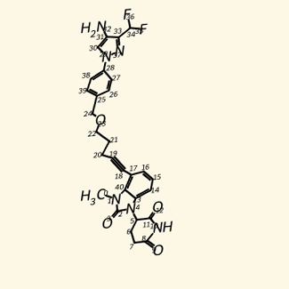 Cn1c(=O)n(C2CCC(=O)NC2=O)c2cccc(C#CCCCOCc3ccc(-n4cc(N)c(C(F)F)n4)cc3)c21